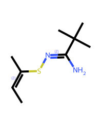 C/C=C(/C)S/N=C(\N)C(C)(C)C